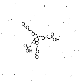 O=COCCOCC(COCCOC=O)(COCCC(=O)O)COCCC(=O)O